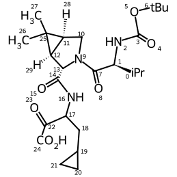 CC(C)[C@H](NC(=O)OC(C)(C)C)C(=O)N1C[C@H]2[C@@H]([C@H]1C(=O)NC(CC1CC1)C(=O)C(=O)O)C2(C)C